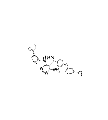 C=CC(=O)N1CC2CC(Nc3ncnc(N)c3C(=N)c3ccc(Oc4cccc(OC)c4)cc3)C1C2